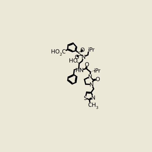 Cc1nc(CN2CCN([C@H](C(=O)N[C@@H](Cc3ccccc3)[C@H](O)CN(CC(C)C)S(=O)(=O)c3cccc(C(=O)O)c3)C(C)C)C2=O)cs1